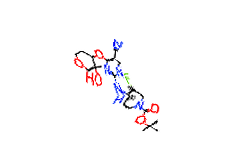 CC(C)(C)OC(=O)N1CC[C@@H](Nc2ncc(C#N)c(OC3CCOCC3(C)O)n2)[C@H](F)C1